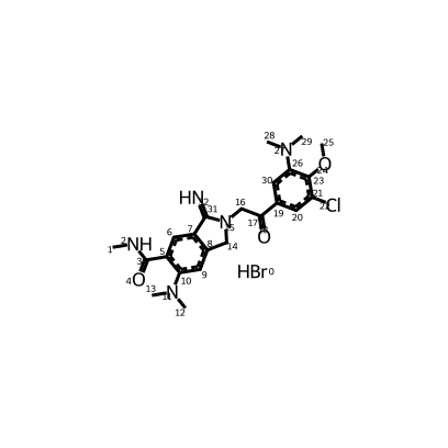 Br.CNC(=O)c1cc2c(cc1N(C)C)CN(CC(=O)c1cc(Cl)c(OC)c(N(C)C)c1)C2=N